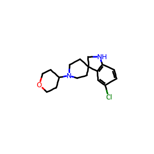 Clc1ccc2c(c1)C1(CCN(C3CCOCC3)CC1)CN2